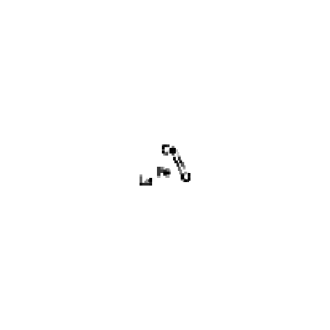 [Fe].[La].[O]=[Co]